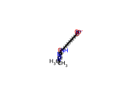 CCC(C)N1CCN(c2ccc(C(=O)NCCCCCCCCCCCCCCCCCO[N+](=O)[O-])cn2)CC1